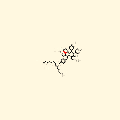 CC(O)CC(O)CC(O)CC1CC(CC(O)CC(C)O)OC(c2ccc(CC(c3cc[n+](C)cc3)C(c3cc[n+](C)cc3)C(c3ccc(C=O)cc3)C(c3ccc(C=O)cc3)C(C)c3cc[n+](C)cc3)cc2)O1